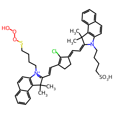 CC1(C)C(/C=C/C2=C(Cl)C(=C/C=C3/N(CCCCS(=O)(=O)O)c4ccc5ccccc5c4C3(C)C)/CC2)=[N+](CCCCSOOO)c2ccc3ccccc3c21